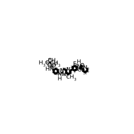 Cc1cc(-c2ccc(NS(=O)(=O)c3ccccn3)c(F)c2)nc2cnc(N[C@H]3CC[C@H](NC(=O)OC(C)(C)C)CC3)nc12